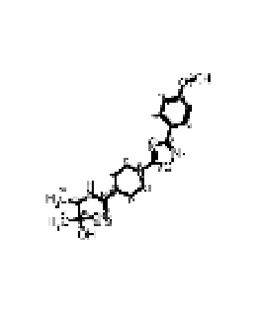 COc1ccc(-c2noc(N3CCC(C(=O)NC(C)C(C)(C)O)CC3)n2)cc1